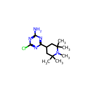 CN1C(C)(C)CC(c2nc(N)nc(Cl)n2)CC1(C)C